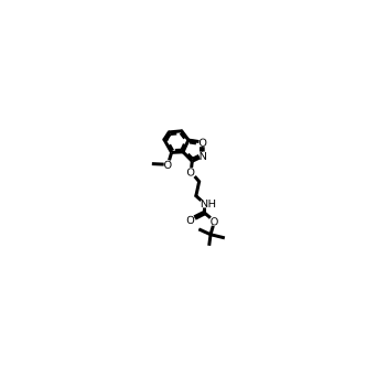 COc1cccc2onc(OCCNC(=O)OC(C)(C)C)c12